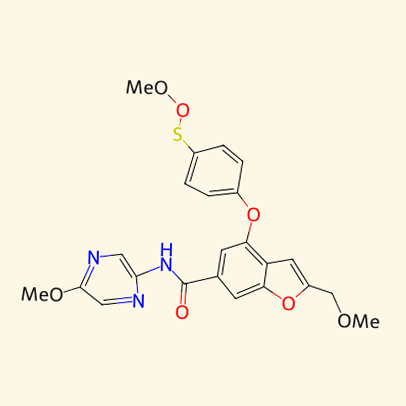 COCc1cc2c(Oc3ccc(SOOC)cc3)cc(C(=O)Nc3cnc(OC)cn3)cc2o1